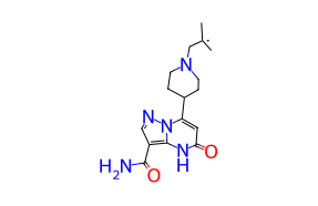 C[C](C)CN1CCC(c2cc(=O)[nH]c3c(C(N)=O)cnn23)CC1